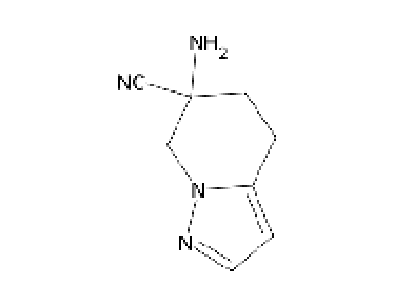 N#CC1(N)CCc2ccnn2C1